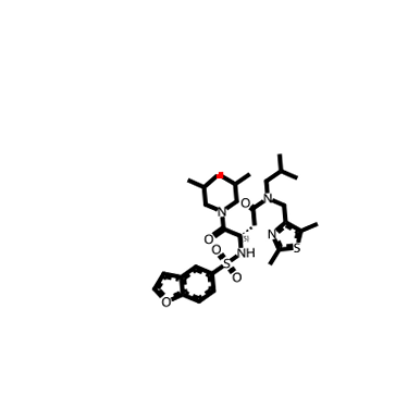 Cc1nc(CN(CC(C)C)C(=O)C[C@H](NS(=O)(=O)c2ccc3occc3c2)C(=O)N(CC(C)C)CC(C)C)c(C)s1